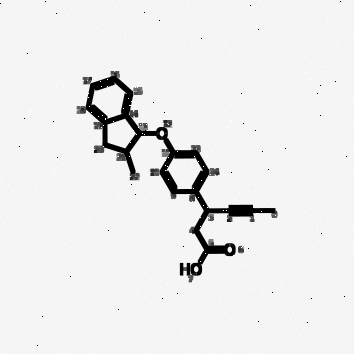 CC#CC(CC(=O)O)c1ccc(OC2c3ccccc3CC2C)cc1